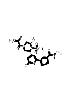 C=C(F)C(=O)N1C[C@H](C)N(S(C)(=O)=O)[C@H](c2cc(Cl)nc(-c3cccc(C(=O)NC)c3)c2)C1